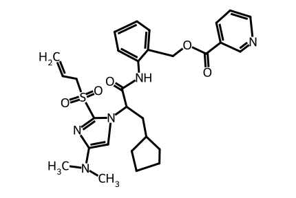 C=CCS(=O)(=O)c1nc(N(C)C)cn1C(CC1CCCC1)C(=O)Nc1ccccc1COC(=O)c1cccnc1